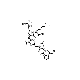 CC(C)C[C@H](NC(=O)[C@@H]1CCCN1C(=O)CN)C(=O)NCC(=O)N[C@H](C(=O)N[C@@H](CCCNC(=N)N)C(=O)N[C@@H](CCCCN)C(=O)O)C(C)C